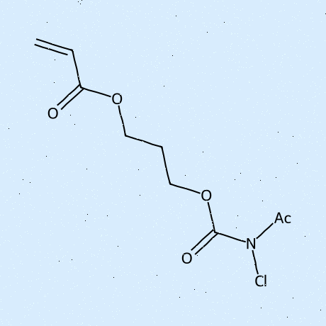 C=CC(=O)OCCCOC(=O)N(Cl)C(C)=O